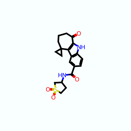 O=C(NC1CCS(=O)(=O)C1)c1ccc2[nH]c3c(c2c1)C1(CCCC3=O)CC1